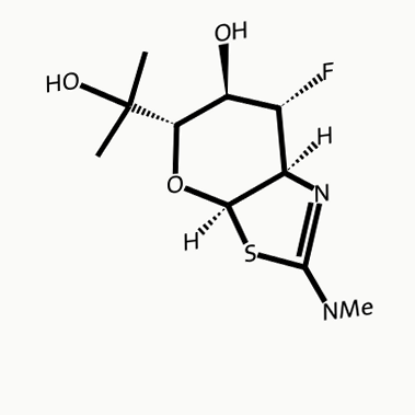 CNC1=N[C@@H]2[C@@H](F)[C@H](O)[C@@H](C(C)(C)O)O[C@@H]2S1